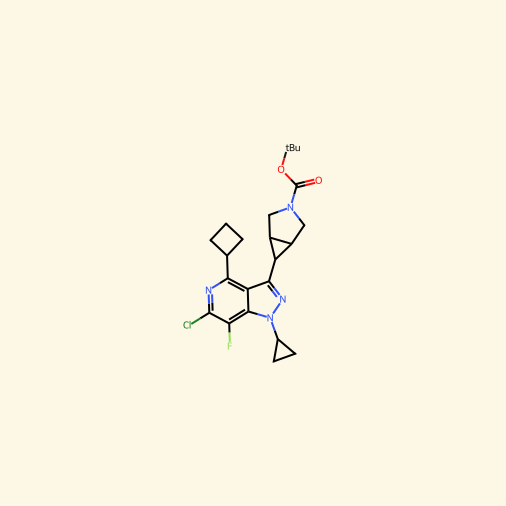 CC(C)(C)OC(=O)N1CC2C(C1)C2c1nn(C2CC2)c2c(F)c(Cl)nc(C3CCC3)c12